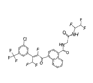 O=C(CNC(=O)c1ccc(C(=O)C(F)=C(c2cc(Cl)cc(C(F)(F)F)c2)C(F)F)c2ccccc12)NC(F)C(F)F